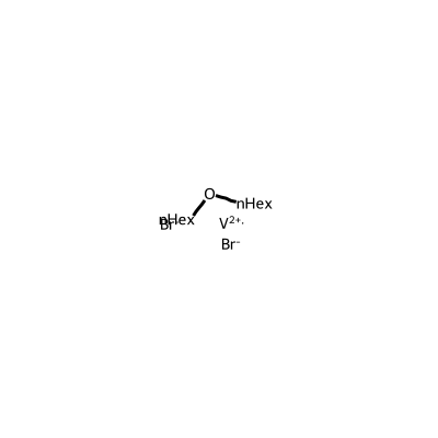 CCCCCCOCCCCCC.[Br-].[Br-].[V+2]